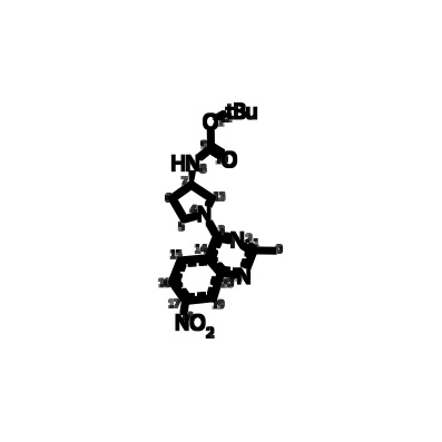 Cc1nc(N2CC[C@@H](NC(=O)OC(C)(C)C)C2)c2ccc([N+](=O)[O-])cc2n1